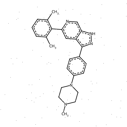 Cc1cccc(C)c1-c1cc2c(-c3ccc(N4CCN(C)CC4)cc3)n[nH]c2cn1